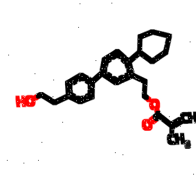 C=C(C)C(=O)OCCc1cc(-c2ccc(CCO)cc2)ccc1C1CCCCC1